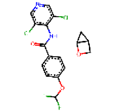 C1OC2CC12.O=C(Nc1c(Cl)cncc1Cl)c1ccc(OC(F)F)cc1